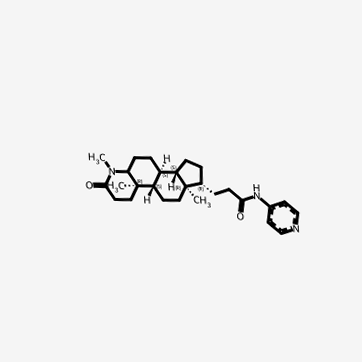 CN1C(=O)CC[C@@]2(C)C1CC[C@H]1[C@@H]3CC[C@H](CCC(=O)Nc4ccncc4)[C@@]3(C)CC[C@@H]12